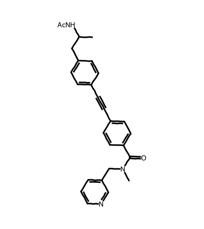 CC(=O)NC(C)Cc1ccc(C#Cc2ccc(C(=O)N(C)Cc3cccnc3)cc2)cc1